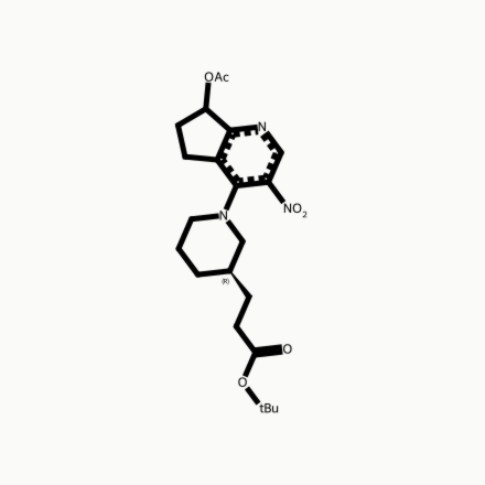 CC(=O)OC1CCc2c1ncc([N+](=O)[O-])c2N1CCC[C@H](CCC(=O)OC(C)(C)C)C1